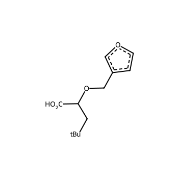 CC(C)(C)CC(OCc1ccoc1)C(=O)O